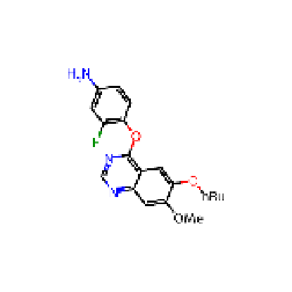 CCCCOc1cc2c(Oc3ccc(N)cc3F)ncnc2cc1OC